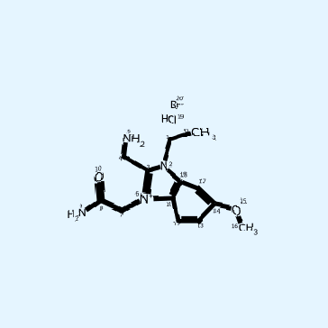 CCn1c(CN)[n+](CC(N)=O)c2ccc(OC)cc21.Cl.[Br-]